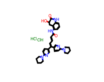 Cl.Cl.O=C(C=CC=C(c1ccc(N2CCCCC2)nc1)c1ccc(N2CCCCC2)nc1)Nc1cccc2c1CC(O)C(=O)N2